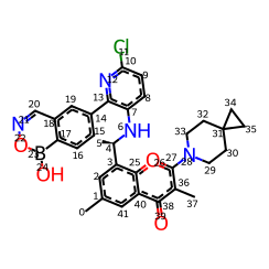 Cc1cc([C@@H](C)Nc2ccc(Cl)nc2-c2ccc3c(c2)C=NOB3O)c2oc(N3CCC4(CC3)CC4)c(C)c(=O)c2c1